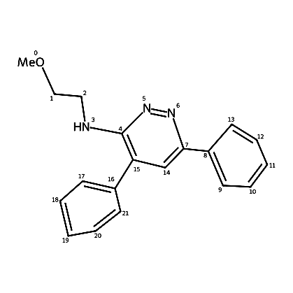 COCCNc1nnc(-c2ccccc2)cc1-c1ccccc1